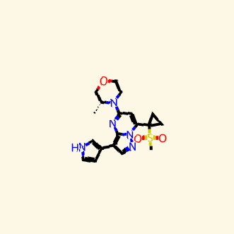 C[C@@H]1COCCN1c1cc(C2(S(C)(=O)=O)CC2)n2ncc(-c3cc[nH]c3)c2n1